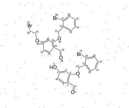 O=Cc1ccc(O)cc1OCc1ccccc1Br.O=Cc1ccc(OCCBr)cc1OCc1ccccc1Br